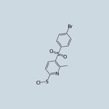 Cc1nc(SCl)ccc1S(=O)(=O)c1ccc(Br)cc1